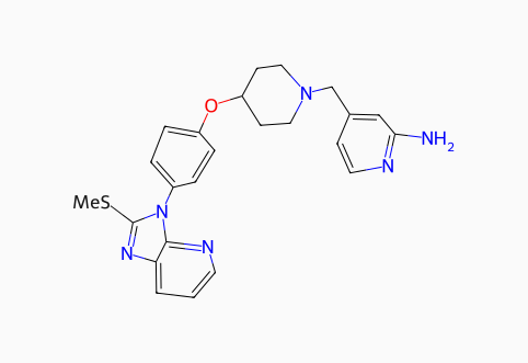 CSc1nc2cccnc2n1-c1ccc(OC2CCN(Cc3ccnc(N)c3)CC2)cc1